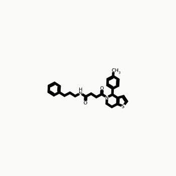 Cc1ccc(C2c3ccsc3CCN2C(=O)CCC(=O)NCCCc2ccccc2)cc1